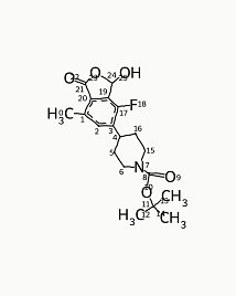 Cc1cc(C2CCN(C(=O)OC(C)(C)C)CC2)c(F)c2c1C(=O)OC2O